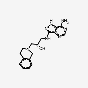 Nc1ncnc2c(NC[C@H](O)CN3CCc4ccccc4C3)n[nH]c12